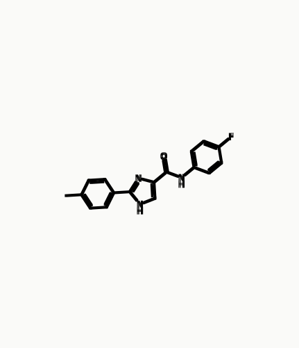 Cc1ccc(-c2nc(C(=O)Nc3ccc(F)cc3)c[nH]2)cc1